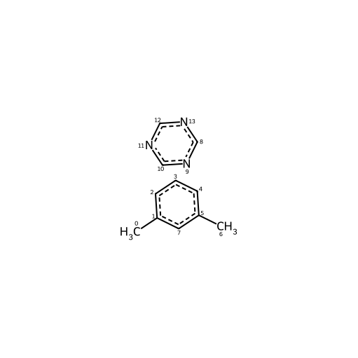 Cc1cccc(C)c1.c1ncncn1